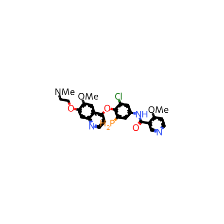 CNCCOc1cc2nccc(Oc3c(P)cc(NC(=O)c4cnccc4OC)cc3Cl)c2cc1OC